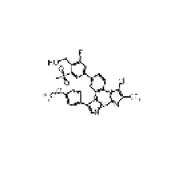 Cc1nc(C(F)(F)F)c(Cl)n1-c1ccc(-c2cc(F)c(CO)c(S(C)(=O)=O)c2)cc1-n1nncc1-c1ccc(OC(F)(F)F)cc1